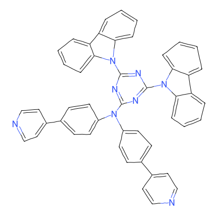 c1ccc2c(c1)c1ccccc1n2-c1nc(N(c2ccc(-c3ccncc3)cc2)c2ccc(-c3ccncc3)cc2)nc(-n2c3ccccc3c3ccccc32)n1